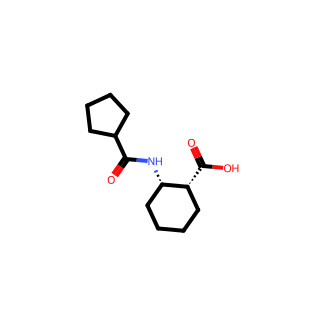 O=C(N[C@H]1CCCC[C@H]1C(=O)O)C1CCCC1